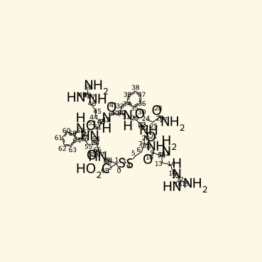 CC1(C)SSCC[C@H](NC(=O)[C@H](N)CCCNC(=N)N)C(=O)N[C@@H](CCC(N)=O)C(=O)N[C@H](Cc2ccccc2)C(=O)N[C@@H](CCCNC(=N)N)C(=O)N[C@@H](Cc2c[nH]c3ccccc23)C(=O)N[C@@H]1C(=O)O